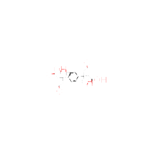 CC(CC=O)(CC(=O)O)c1ccc(C(C)(CC=O)CC(=O)O)cc1